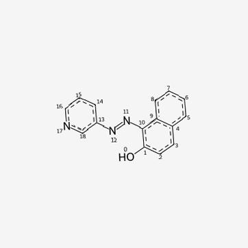 Oc1ccc2ccccc2c1N=Nc1cccnc1